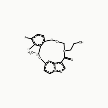 C[C@H]1Oc2ccn3ncc(c3n2)C(=O)N(CCO)CCOc2ccc(F)c(Cl)c21